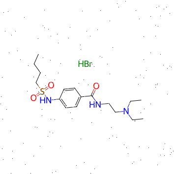 Br.CCCCS(=O)(=O)Nc1ccc(C(=O)NCCN(CC)CC)cc1